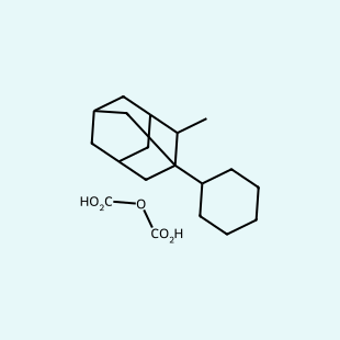 CC1C2CC3CC(C2)CC1(C1CCCCC1)C3.O=C(O)OC(=O)O